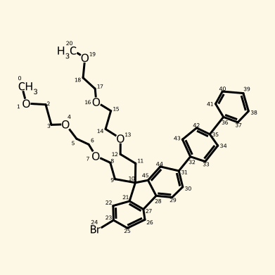 COCCOCCOCCC1(CCOCCOCCOC)c2cc(Br)ccc2-c2ccc(-c3ccc(-c4ccccc4)cc3)cc21